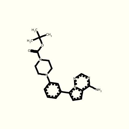 CC(C)(C)OC(=O)N1CCN(c2cccc(-c3ccc4c(N)ncnn34)c2)CC1